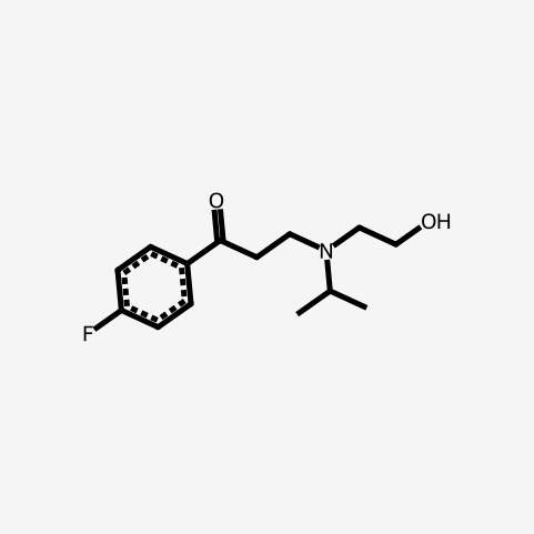 CC(C)N(CCO)CCC(=O)c1ccc(F)cc1